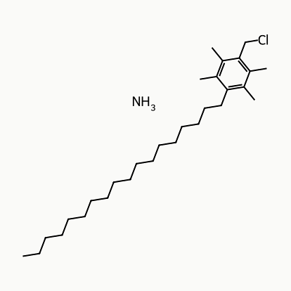 CCCCCCCCCCCCCCCCCCc1c(C)c(C)c(CCl)c(C)c1C.N